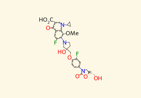 COc1c(N2CCC(O)(COc3ccc(N4C[C@H](CO)OC4=O)cc3F)C2)c(F)cc2c(=O)c(C(=O)O)cn(C3CC3)c12